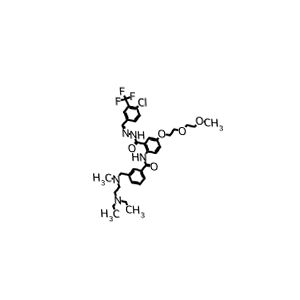 CCN(CC)CCN(C)Cc1cccc(C(=O)Nc2ccc(OCCOCCOC)cc2C(=O)N/N=C\c2ccc(Cl)c(C(F)(F)F)c2)c1